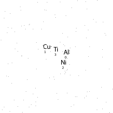 [Al].[Cu].[Ni].[Ti]